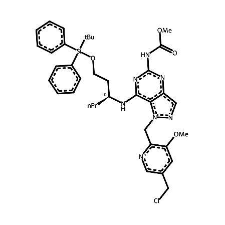 CCC[C@@H](CCO[Si](c1ccccc1)(c1ccccc1)C(C)(C)C)Nc1nc(NC(=O)OC)nc2cnn(Cc3ncc(CCl)cc3OC)c12